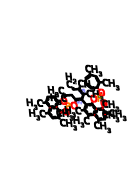 C=C/C(C)=C(C)\C(=C(/CC(C)C)OP(Oc1ccc(C)cc1C)Oc1ccc(C)cc1C)c1c(C)c(C)cc(C(C)C)c1OP(Oc1ccc(C)cc1C)OC1C=CC=C(C)C=C1C